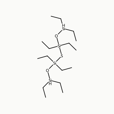 CC[SiH](CC)O[Si](CC)(CC)S[Si](CC)(CC)O[SiH](CC)CC